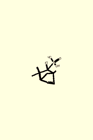 CC12C=CC(C1)C(C)(C)C2(Cl)P(=O)(O)O